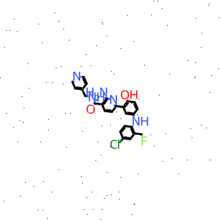 Nc1nc(-c2cc(Nc3ccc(Cl)cc3CF)ccc2O)ccc1C(=O)NCc1ccncc1